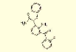 NC(=O)C(Sc1ccccc1)c1cccc(C(=O)c2ccccc2F)c1N